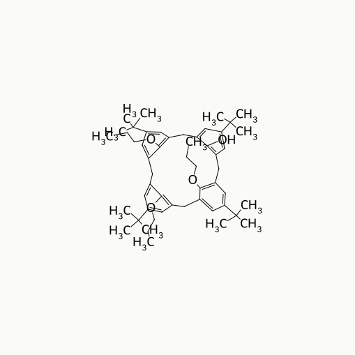 CCCOc1c2cc(C(C)(C)C)cc1Cc1cc(C(C)(C)C)cc(c1OCCC)Cc1cc(C(C)(C)C)cc(c1OCCC)Cc1cc(C(C)(C)C)cc(c1O)C2